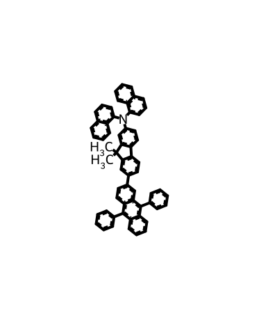 CC1(C)c2cc(-c3ccc4c(-c5ccccc5)c5ccccc5c(-c5ccccc5)c4c3)ccc2-c2ccc(N(c3cccc4ccccc34)c3cccc4ccccc34)cc21